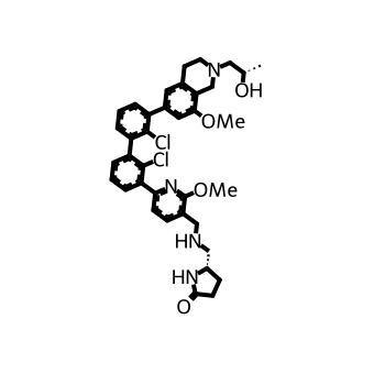 COc1cc(-c2cccc(-c3cccc(-c4ccc(CNC[C@@H]5CCC(=O)N5)c(OC)n4)c3Cl)c2Cl)cc2c1CN(C[C@H](C)O)CC2